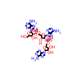 Nc1ncnc2c1ncn2C1OC(COP(O)(=S)OC2C(O)C(COP(O)(=S)OC3C(O)C(CO)OC3n3cnc4c(N)ncnc43)OC2n2cnc3c(N)ncnc32)C(O)C1O